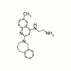 Cc1ccc2nc(N3CCCc4ccccc4C3)cc(NCCN)c2c1